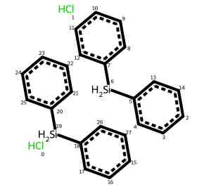 Cl.Cl.c1ccc([SiH2]c2ccccc2)cc1.c1ccc([SiH2]c2ccccc2)cc1